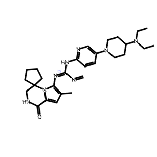 C=N/C(=N\c1c(C)cc2n1C1(CCCC1)CNC2=O)Nc1ccc(N2CCC(N(CC)CC)CC2)cn1